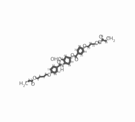 C=CC(=O)OCCCCOc1ccc(C(=O)Nc2ccc(OC(=O)c3ccc(OCCCCOC(=O)C=C)cc3)cc2C=O)cc1